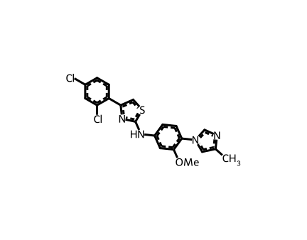 COc1cc(Nc2nc(-c3ccc(Cl)cc3Cl)cs2)ccc1-n1cnc(C)c1